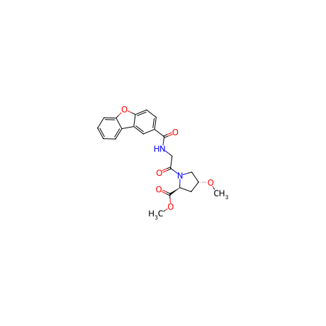 COC(=O)[C@@H]1C[C@@H](OC)CN1C(=O)CNC(=O)c1ccc2oc3ccccc3c2c1